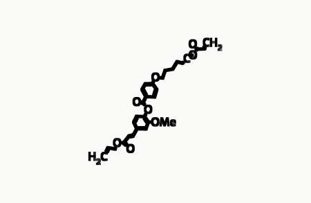 C=CCOC(=O)/C=C/c1ccc(OC(=O)c2ccc(OCCCCCCOC(=O)C=C)cc2)c(OC)c1